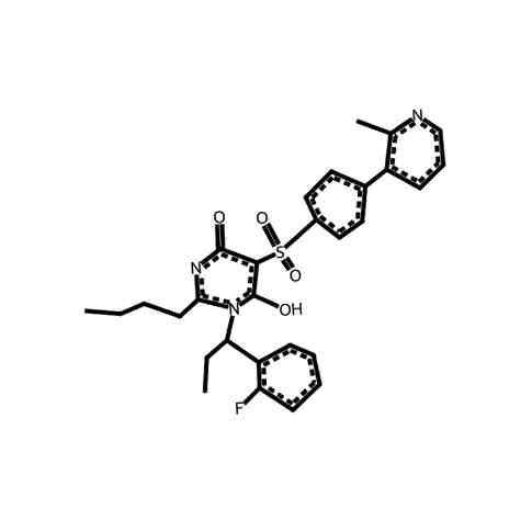 CCCCc1nc(=O)c(S(=O)(=O)c2ccc(-c3cccnc3C)cc2)c(O)n1C(CC)c1ccccc1F